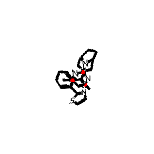 Cc1cc(C)nc(N2C3CCC2CN(C(=O)c2ccccc2-c2nccs2)C3)n1